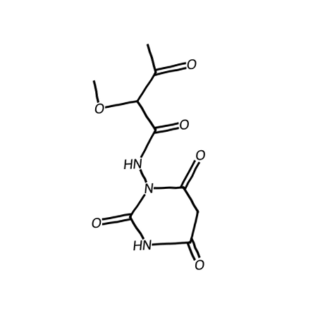 COC(C(C)=O)C(=O)NN1C(=O)CC(=O)NC1=O